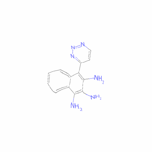 Nc1c(N)c(-c2ccnnn2)c2ccccc2c1N